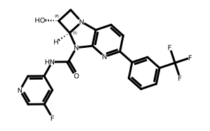 O=C(Nc1cncc(F)c1)N1c2nc(-c3cccc(C(F)(F)F)c3)ccc2N2C[C@@H](O)[C@@H]21